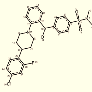 CN(C)S(=O)(=O)c1ccc([S+]([O-])c2ccccc2N2CCC(c3ccc(Cl)cc3F)CC2)cc1